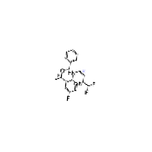 C[C@@H](OCc1ccccc1)c1cc(F)ccc1N/C=C\C(=N)C(F)F